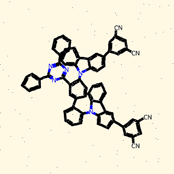 N#Cc1cc(C#N)cc(-c2ccc3c(c2)c2ccccc2n3-c2ccccc2-c2ccc(-n3c4ccccc4c4cc(-c5cc(C#N)cc(C#N)c5)ccc43)c(-c3nc(-c4ccccc4)nc(-c4ccccc4)n3)c2)c1